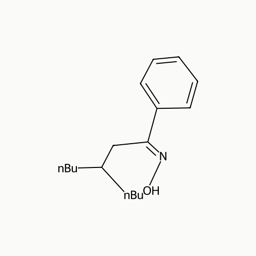 CCCCC(CCCC)CC(=NO)c1ccccc1